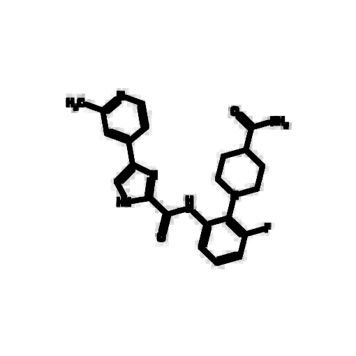 Cc1cc(-c2c[nH]c(C(=O)Nc3cccc(F)c3N3CCC(C(N)=O)CC3)n2)ccn1